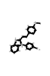 CSc1ccc(C=Cc2nc3ccccc3n2-c2ccc(F)cc2)cc1